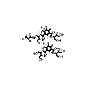 Nc1c(I)c(C(=O)NC(CO)C(O)CO)c(I)c(C(=O)NC(CO)C(O)CO)c1I.Nc1c(I)c(C(=O)NC(CO)C(O)CO)c(I)c(C(=O)NC(CO)C(O)CO)c1I.O=C(O)C(O)C(=O)O